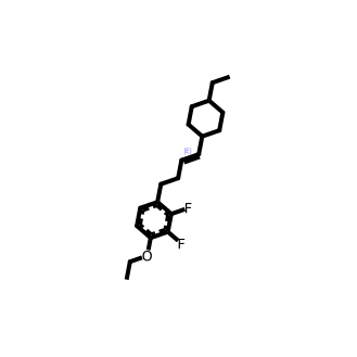 CCOc1ccc(CC/C=C/C2CCC(CC)CC2)c(F)c1F